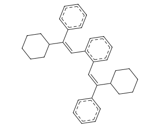 C(=C(c1ccccc1)C1CCCCC1)c1ccccc1C=C(c1ccccc1)C1CCCCC1